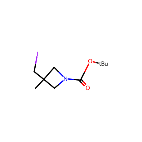 CC1(CI)CN(C(=O)OC(C)(C)C)C1